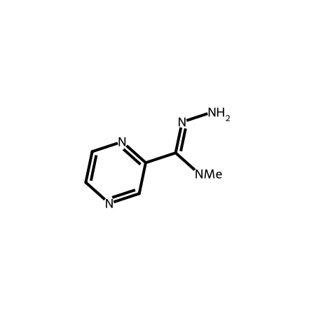 CN/C(=N\N)c1cnccn1